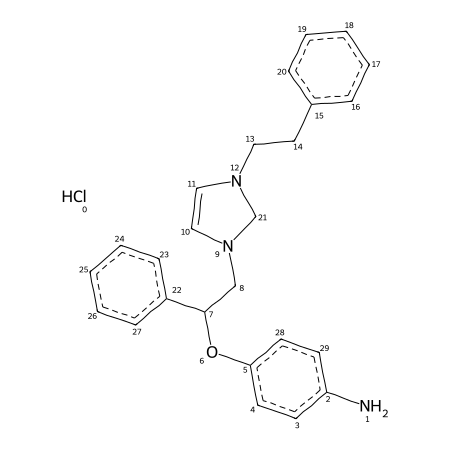 Cl.Nc1ccc(OC(CN2C=CN(CCc3ccccc3)C2)c2ccccc2)cc1